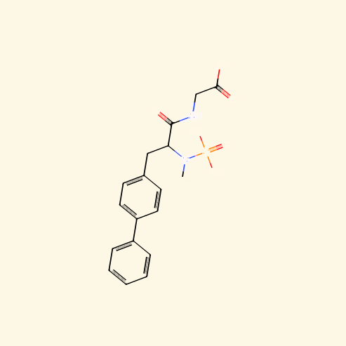 CN(C(Cc1ccc(-c2ccccc2)cc1)C(=O)NCC(=O)O)P(=O)(O)O